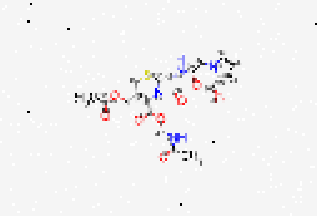 CC(=O)NCOC(=O)C1=C(COC(C)=O)CSC2C(NC(=O)Cn3cccc3C=O)C(=O)N12